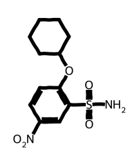 NS(=O)(=O)c1cc([N+](=O)[O-])ccc1OC1CCCCC1